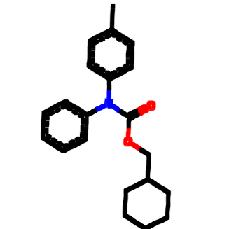 Cc1ccc(N(C(=O)OCC2CCCCC2)c2ccccc2)cc1